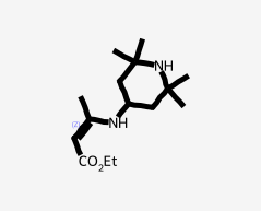 CCOC(=O)/C=C(/C)NC1CC(C)(C)NC(C)(C)C1